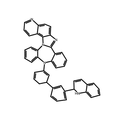 C1=CC(N2c3ccccc3-c3nc4ccc5ncccc5c4n3-c3ccccc32)=CC(c2cccc(C3C=Cc4ccccc4N3)c2)C1